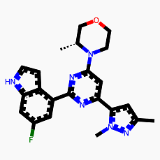 Cc1cc(-c2cc(N3CCOC[C@H]3C)nc(-c3cc(F)cc4[nH]ccc34)n2)n(C)n1